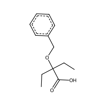 CCC(CC)(OCc1ccccc1)C(=O)O